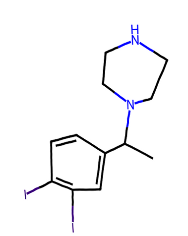 CC(c1ccc(I)c(I)c1)N1CCNCC1